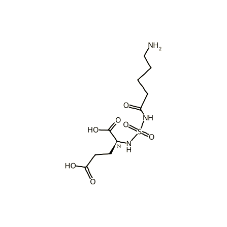 NCCCCC(=O)NS(=O)(=O)N[C@@H](CCC(=O)O)C(=O)O